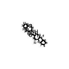 CC1C([C@H](C)c2ccccc2)=NN=C(C(=O)N[C@H]2COc3ccccc3N(C)C2=O)C[C@H]1C